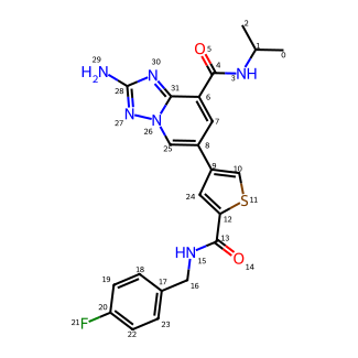 CC(C)NC(=O)c1cc(-c2csc(C(=O)NCc3ccc(F)cc3)c2)cn2nc(N)nc12